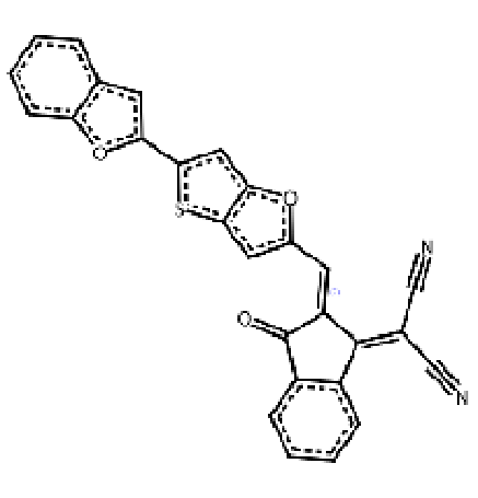 N#CC(C#N)=C1/C(=C/c2cc3sc(-c4cc5ccccc5o4)cc3o2)C(=O)c2ccccc21